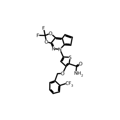 NC(=O)c1sc(-n2nc3c(c4cccc2-4)OC(F)(F)O3)cc1OCc1ccccc1C(F)(F)F